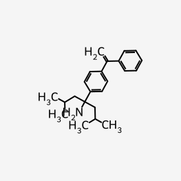 C=C(c1ccccc1)c1ccc(C(N)(CC(C)C)CC(C)C)cc1